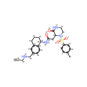 Cc1ccc(S(=O)(=O)N2CCNC(=O)C2CC(=O)N[C@@H]2CCCc3cc(CNCC(C)(C)C)ccc32)cc1